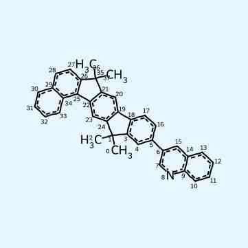 CC1(C)c2cc(-c3cnc4ccccc4c3)ccc2-c2cc3c(cc21)-c1c(ccc2ccccc12)C3(C)C